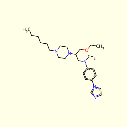 CCCCCCN1CCN(C(COCC)CN(C)c2ccc(-n3ccnc3)cc2)CC1